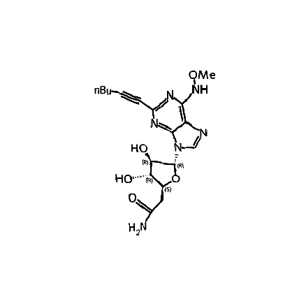 CCCCC#Cc1nc(NOC)c2ncn([C@@H]3O[C@@H](CC(N)=O)[C@H](O)[C@H]3O)c2n1